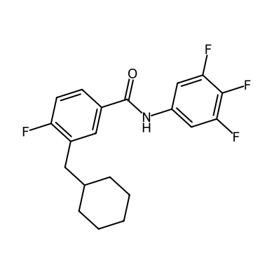 O=C(Nc1cc(F)c(F)c(F)c1)c1ccc(F)c(CC2CCCCC2)c1